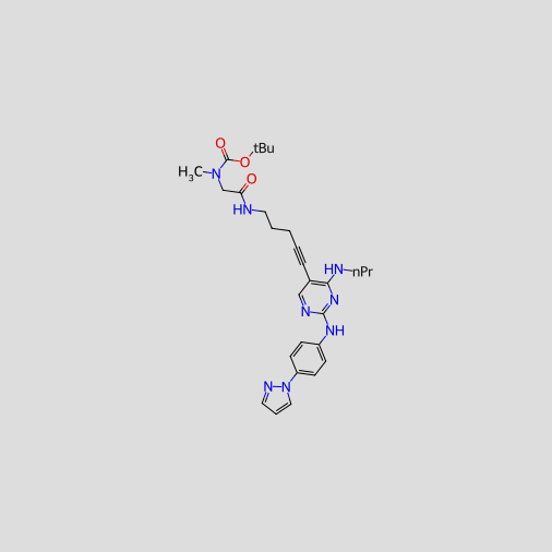 CCCNc1nc(Nc2ccc(-n3cccn3)cc2)ncc1C#CCCCNC(=O)CN(C)C(=O)OC(C)(C)C